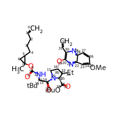 C=CCCCC1CC1(C)OC(=O)N[C@H](C(=O)N1C[C@H](Oc2nc3cc(OC)ccc3nc2C=C)[C@@H](CC)[C@H]1C(=O)OCC(C)C)C(C)(C)C